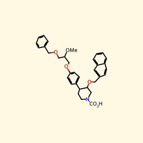 COC(COCc1ccccc1)COc1ccc(C2CCN(C(=O)O)CC2OCc2ccc3ccccc3c2)cc1